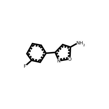 Nc1cc(-c2cccc(F)c2)no1